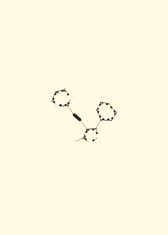 Cc1onc(-c2ccccc2)c1C#Cc1ncccn1